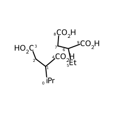 CC(C)C(CC(=O)O)C(=O)O.CCC(CC(=O)O)C(=O)O